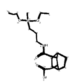 CCO[Si](C)(CCCNC(=O)C1C2CCC(CC2)C1C(=O)O)OCC